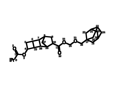 CC(C)C(=O)OC1CC2C3C4CC(C(=O)OCOCC56CC7CC(C5)C(C7)C6)C(C4)C3C12